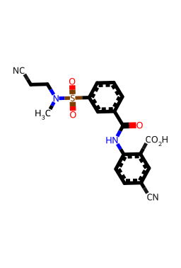 CN(CCC#N)S(=O)(=O)c1cccc(C(=O)Nc2ccc(C#N)cc2C(=O)O)c1